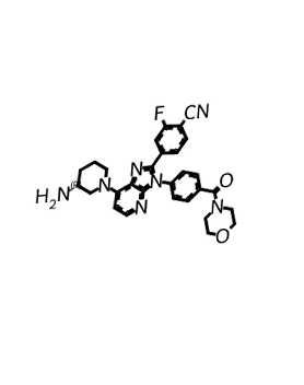 N#Cc1ccc(-c2nc3c(N4CCC[C@@H](N)C4)ccnc3n2-c2ccc(C(=O)N3CCOCC3)cc2)cc1F